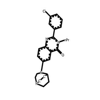 CCCn1c(-c2cccc(Cl)c2)nc2ccc(N3CCN4CCC3CC4)cc2c1=O